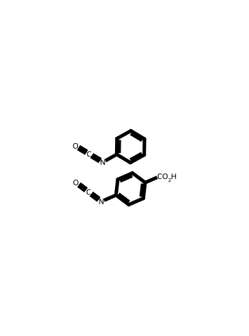 O=C=Nc1ccc(C(=O)O)cc1.O=C=Nc1ccccc1